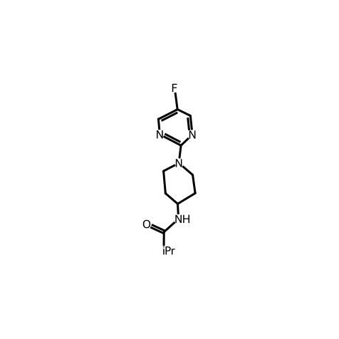 CC(C)C(=O)NC1CCN(c2ncc(F)cn2)CC1